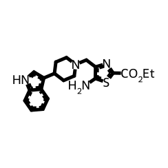 CCOC(=O)c1nc(CN2CCC(c3c[nH]c4ccccc34)CC2)c(N)s1